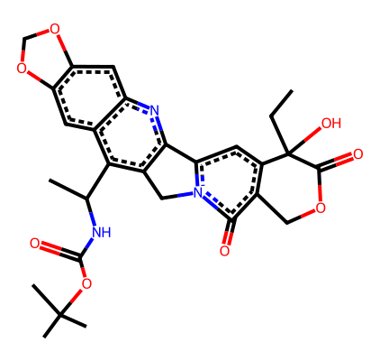 CCC1(O)C(=O)OCc2c1cc1n(c2=O)Cc2c-1nc1cc3c(cc1c2C(C)NC(=O)OC(C)(C)C)OCO3